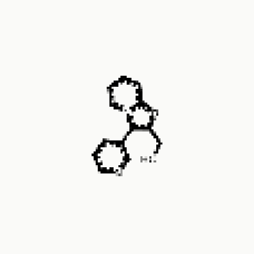 OCc1nc2ccccn2c1-c1cccnc1